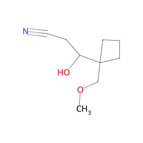 COCC1(C(O)CC#N)CCC1